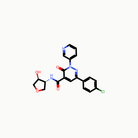 O=C(N[C@@H]1COC[C@H]1O)c1cc(-c2ccc(Cl)cc2)nn(-c2cccnc2)c1=O